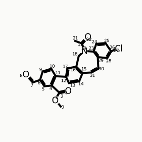 COC(=O)c1cc(C=O)ccc1-c1ccc2c(c1)CN(C(C)=O)c1ccc(Cl)cc1/C=C\2